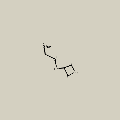 CSCSSC1CSC1